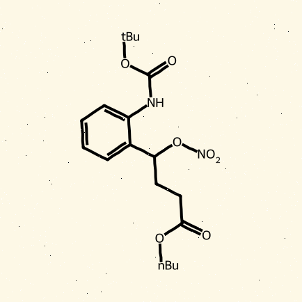 CCCCOC(=O)CCC(O[N+](=O)[O-])c1ccccc1NC(=O)OC(C)(C)C